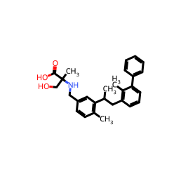 Cc1ccc(CNC(C)(CO)C(=O)O)cc1C(C)Cc1cccc(-c2ccccc2)c1C